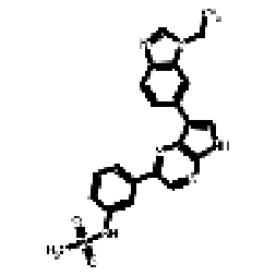 CS(=O)(=O)Nc1cccc(-c2cnc3[nH]cc(-c4ccc5ncn(CC(F)(F)F)c5c4)c3n2)c1